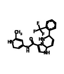 CC1=CC(NC(=O)C2=CNC3C=CC(c4ccccc4C(F)(F)F)NN23)=CCN1